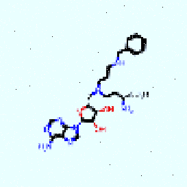 Nc1ncnc2c1ncn2[C@@H]1O[C@H](CN(CCCNCc2ccccc2)CC[C@H](N)C(=O)O)[C@@H](O)[C@H]1O